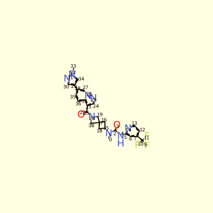 CN(C(=O)Nc1cc(C(F)(F)F)ccn1)C1CC2(C1)CN(C(=O)c1cnn3cc(-c4cnn(C)c4)ccc13)C2